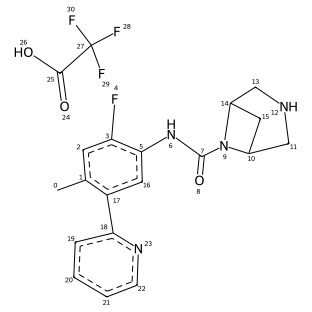 Cc1cc(F)c(NC(=O)N2C3CNCC2C3)cc1-c1ccccn1.O=C(O)C(F)(F)F